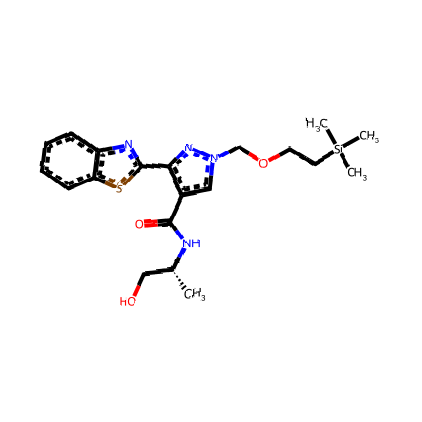 C[C@H](CO)NC(=O)c1cn(COCC[Si](C)(C)C)nc1-c1nc2ccccc2s1